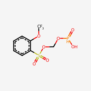 O=[PH](O)OCOS(=O)(=O)c1ccccc1OC(F)(F)F